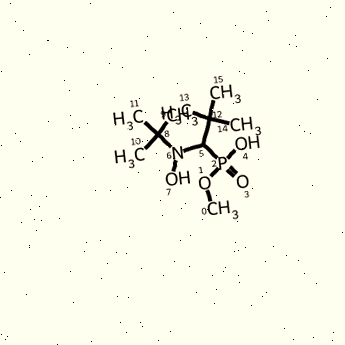 COP(=O)(O)C(N(O)C(C)(C)C)C(C)(C)C